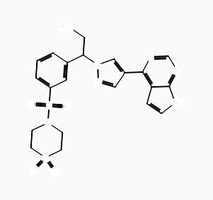 N#CCC(c1cccc(S(=O)(=O)N2CCS(=O)(=O)CC2)c1)n1cc(-c2ncnc3[nH]ccc23)cn1